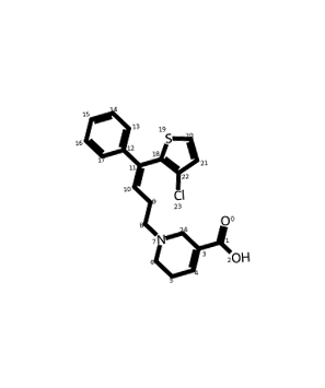 O=C(O)C1=CCCN(CCC=C(c2ccccc2)c2sccc2Cl)C1